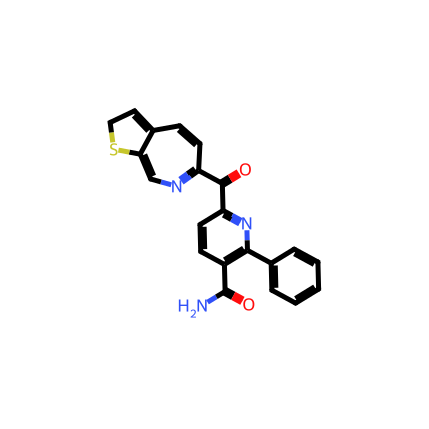 NC(=O)c1ccc(C(=O)C2=NC=C3SCC=C3C=C2)nc1-c1ccccc1